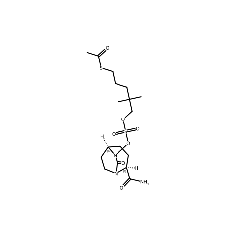 CC(=O)SCCCC(C)(C)COS(=O)(=O)ON1C(=O)N2CC[C@H]1CC[C@H]2C(N)=O